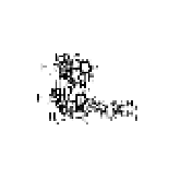 C[Si](C)(C)N=C(N[Si](C)(C)C)c1ccccc1C(=O)O.C[Si](C)(C)N=C(N[Si](C)(C)C)c1ccccc1C(=O)O.C[Si](C)(C)[CH2][Zr][CH2][Si](C)(C)C